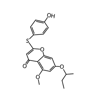 CCC(C)Oc1cc(OC)c2c(=O)cc(Sc3ccc(O)cc3)oc2c1